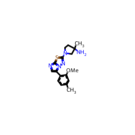 COc1cc(C)ccc1-c1cnc2sc(N3CCC(C)(N)C3)nn12